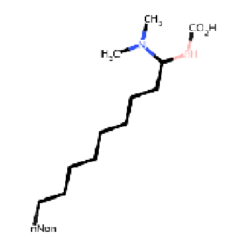 CCCCCCCCCCCCCCCCCC(BC(=O)O)N(C)C